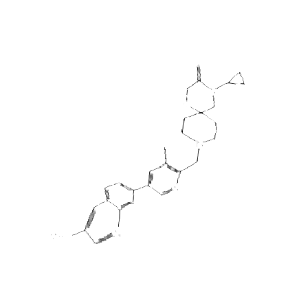 COc1cnc2cc(-c3cnc(CN4CCC5(CC4)CN(C4CC4)C(=O)CO5)c(F)c3)ccc2c1